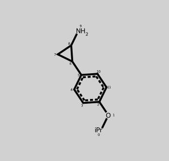 CC(C)Oc1ccc(C2CC2N)cc1